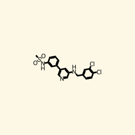 CS(=O)(=O)Nc1cccc(-c2cncc(NCc3ccc(Cl)c(Cl)c3)c2)c1